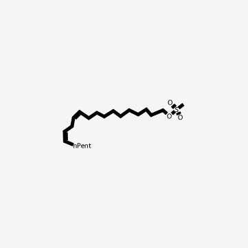 CCCCC/C=C\C/C=C\CCCCCCCCCCOS(C)(=O)=O